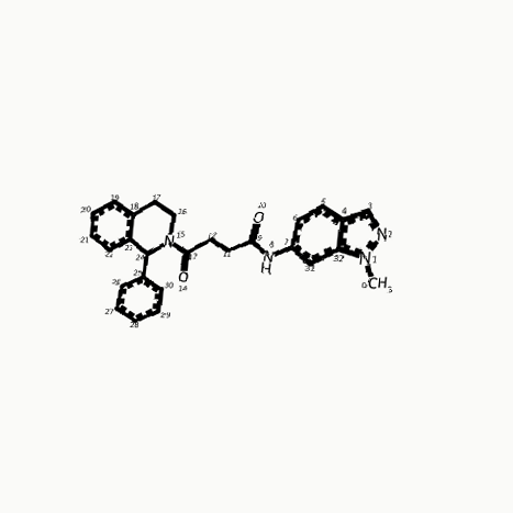 Cn1ncc2ccc(NC(=O)CCC(=O)N3CCc4ccccc4C3c3ccccc3)cc21